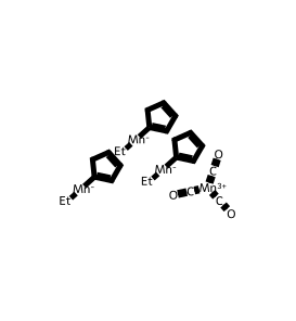 C[CH2][Mn-][C]1=CC=CC1.C[CH2][Mn-][C]1=CC=CC1.C[CH2][Mn-][C]1=CC=CC1.O=[C]=[Mn+3](=[C]=O)=[C]=O